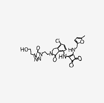 Cc1ccc(CNc2c(Nc3ccc(Cl)c4c3C(=O)N(CCn3nnn(CCO)c3=O)C4)c(=O)c2=O)o1